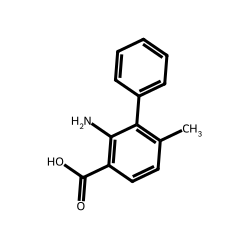 Cc1ccc(C(=O)O)c(N)c1-c1ccccc1